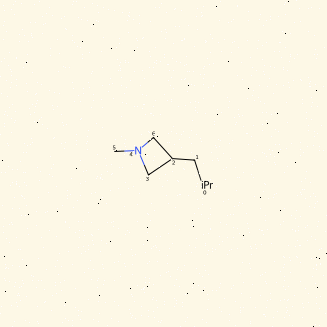 CC(C)CC1CN(C)C1